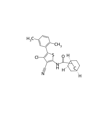 Cc1ccc(C)c(-c2sc(NC(=O)[C@@H]3C[C@H]4CC[C@@H]3CC4)c(C#N)c2Cl)c1